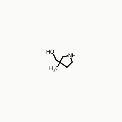 C[C@]1(CO)CCNC1